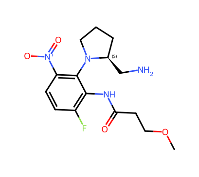 COCCC(=O)Nc1c(F)ccc([N+](=O)[O-])c1N1CCC[C@H]1CN